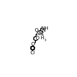 CC1=NNCC1C(=O)NCC1CCC(COc2ccc(Cl)cc2)CO1